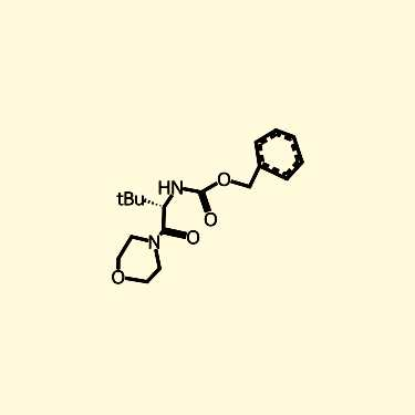 CC(C)(C)[C@H](NC(=O)OCc1ccccc1)C(=O)N1CCOCC1